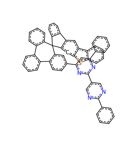 c1ccc(-c2cc(-c3ccc4c(c3)C3(c5ccccc5-c5ccccc5-4)c4ccccc4-c4cc5c(cc43)sc3ccccc35)nc(-c3cnc(-c4ccccc4)nc3)n2)cc1